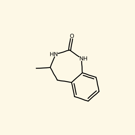 CC1Cc2ccccc2NC(=O)N1